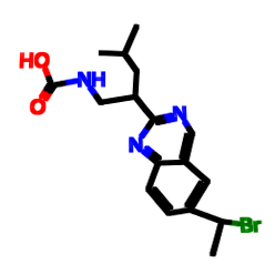 CC(C)CC(CNC(=O)O)c1ncc2cc(C(C)Br)ccc2n1